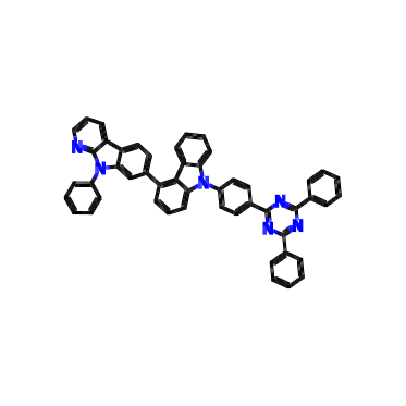 c1ccc(-c2nc(-c3ccccc3)nc(-c3ccc(-n4c5ccccc5c5c(-c6ccc7c8cccnc8n(-c8ccccc8)c7c6)cccc54)cc3)n2)cc1